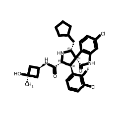 C[C@]1(O)C[C@@H](NC(=O)[C@@H]2N[C@H](CC3CCCC3)[C@]3(C(=O)Nc4cc(Cl)ccc43)[C@H]2c2cccc(Cl)c2F)C1